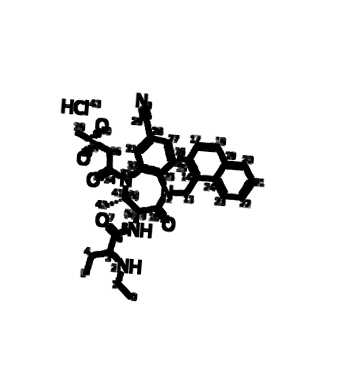 CCNC(CC)C(=O)N[C@@H]1C(=O)N(Cc2c(C)ccc3ccccc23)c2ccc(C#N)cc2N(C(=O)CS(C)(=O)=O)[C@H]1C.Cl